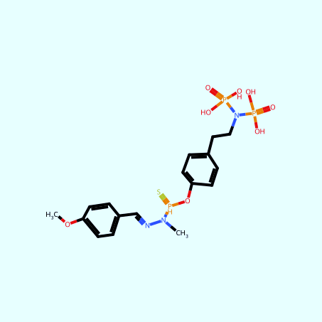 COc1ccc(/C=N/N(C)[PH](=S)Oc2ccc(CCN(P(=O)(O)O)P(=O)(O)O)cc2)cc1